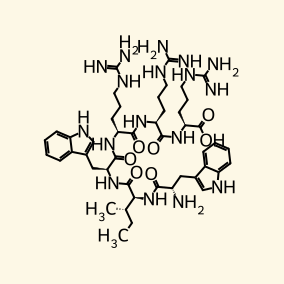 CC[C@H](C)[C@H](NC(=O)[C@@H](N)Cc1c[nH]c2ccccc12)C(=O)N[C@@H](Cc1c[nH]c2ccccc12)C(=O)N[C@@H](CCCNC(=N)N)C(=O)N[C@@H](CCCNC(=N)N)C(=O)N[C@@H](CCCNC(=N)N)C(=O)O